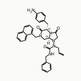 C=CCN(C(=O)NCc1ccccc1)N1CC(=O)N2[C@@H](Cc3ccc(N)cc3)C(=O)N(Cc3cccc4ccccc34)C[C@@H]21